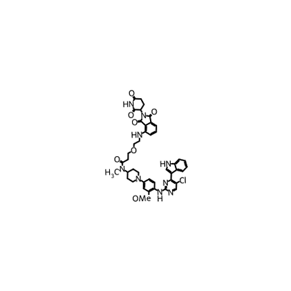 COc1cc(N2CCC(N(C)C(=O)CCOCCNc3cccc4c3C(=O)N(C3CCC(=O)NC3=O)C4=O)CC2)ccc1Nc1ncc(Cl)c(-c2c[nH]c3ccccc23)n1